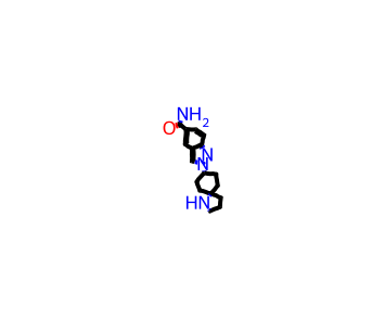 NC(=O)c1ccc2nn(C3CCC4(CCCN4)CC3)cc2c1